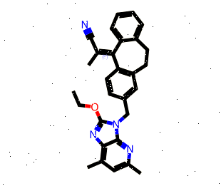 CCOc1nc2c(C)cc(C)nc2n1Cc1ccc2c(c1)CCc1ccccc1/C2=C(/C)C#N